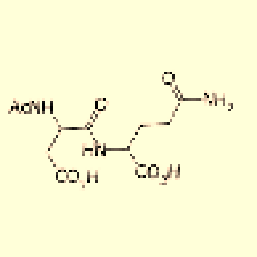 CC(=O)NC(CC(=O)O)C(=O)NC(CCC(N)=O)C(=O)O